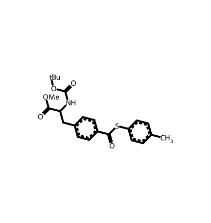 COC(=O)C(Cc1ccc(C(=O)Sc2ccc(C)cc2)cc1)NC(=O)OC(C)(C)C